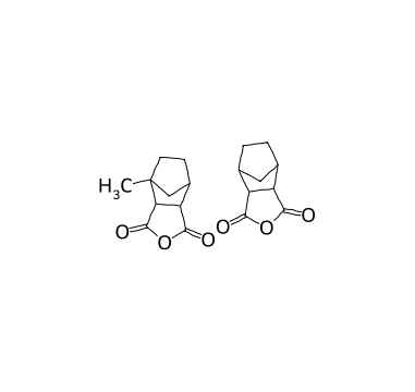 CC12CCC(C1)C1C(=O)OC(=O)C12.O=C1OC(=O)C2C3CCC(C3)C12